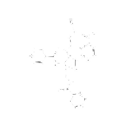 C#CCCCO[C@@H]1[C@H](OC(=O)c2ccccc2)[C@@H](COC(=O)c2ccccc2)O[C@H]1[n+]1cccc(C(N)=O)c1